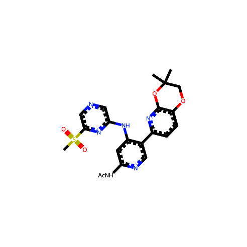 CC(=O)Nc1cc(Nc2cncc(S(C)(=O)=O)n2)c(-c2ccc3c(n2)OC(C)(C)CO3)cn1